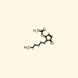 CCCCCCC1C(=O)C=CC1OC(C)=O